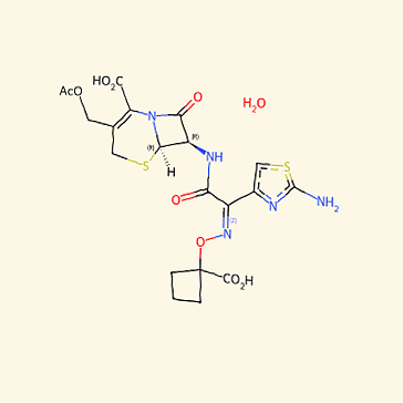 CC(=O)OCC1=C(C(=O)O)N2C(=O)[C@@H](NC(=O)/C(=N\OC3(C(=O)O)CCC3)c3csc(N)n3)[C@H]2SC1.O